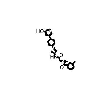 Cc1cccc(C(=O)NCC(=O)NC2CN(C3CCC(c4cncc(O)c4)CC3)C2)c1